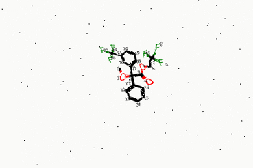 COC(C(=O)OCC(F)(F)F)(c1ccccc1)c1cccc(C(F)(F)F)c1